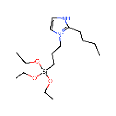 CCCCc1[nH]cc[n+]1CCC[Si](OCC)(OCC)OCC